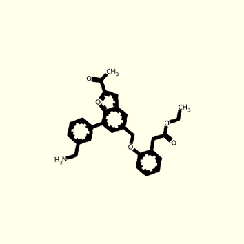 CCOC(=O)Cc1ccccc1OCc1cc(-c2cccc(CN)c2)c2oc(C(C)=O)cc2c1